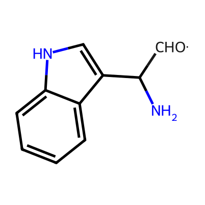 NC([C]=O)c1c[nH]c2ccccc12